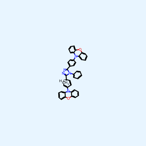 C=C(/C=C\C(=C/C)N1c2ccccc2Oc2ccccc21)c1nnc(-c2ccc(N3c4ccccc4Oc4ccccc43)cc2)n1-c1ccccc1